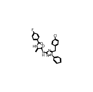 C=C(NC(=O)c1ccc(F)cc1)C(=O)Nc1nc(Cc2ccc(Cl)cc2)n(-c2ccccc2)n1